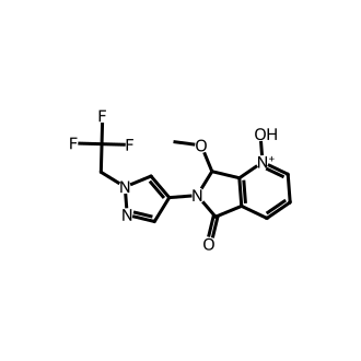 COC1c2c(ccc[n+]2O)C(=O)N1c1cnn(CC(F)(F)F)c1